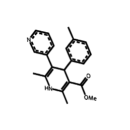 COC(=O)C1=C(C)NC(C)=C(c2cccnc2)C1c1cccc(C)c1